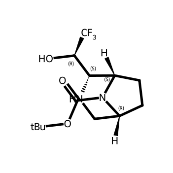 CC(C)(C)OC(=O)N1[C@@H]2CC[C@H]1[C@@H]([C@@H](O)C(F)(F)F)NC2